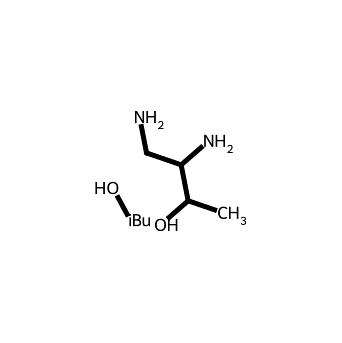 CC(O)C(N)CN.CCC(C)O